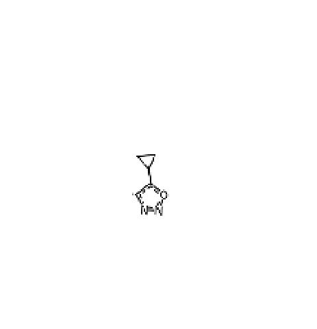 [c]1nnoc1C1CC1